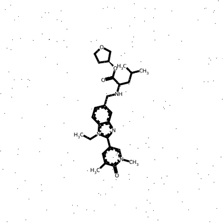 CCn1c(-c2cc(C)c(=O)n(C)c2)nc2cc(CNC(CC(C)C)C(=O)O[C@H]3CCOC3)ccc21